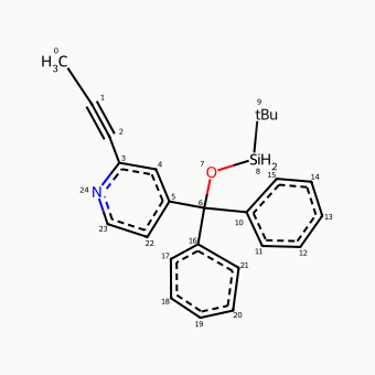 CC#Cc1cc(C(O[SiH2]C(C)(C)C)(c2ccccc2)c2ccccc2)ccn1